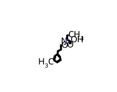 CC/C(=N/OCCCc1cccc(C)c1)C(=O)O